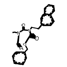 CN(C#N)C(=O)N(CCc1ccc2ccccc2c1)C(=O)OCc1ccccc1